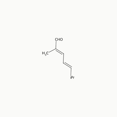 CC(C=O)=CC=CC(C)C